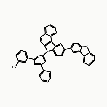 Sc1cccc(-c2cc(-c3ccccc3)cc(-n3c4ccc(-c5ccc6oc7ccccc7c6c5)cc4c4c5ccccc5ccc43)n2)c1